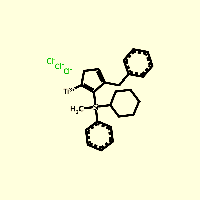 C[Si](C1=[C]([Ti+3])CC=C1Cc1ccccc1)(c1ccccc1)C1CCCCC1.[Cl-].[Cl-].[Cl-]